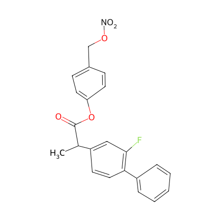 CC(C(=O)Oc1ccc(CO[N+](=O)[O-])cc1)c1ccc(-c2ccccc2)c(F)c1